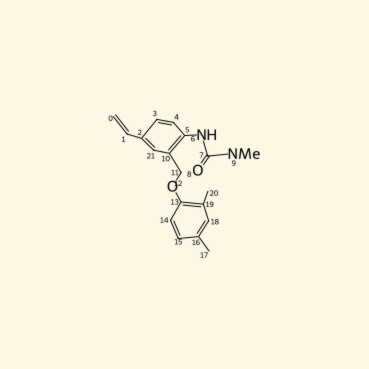 C=Cc1ccc(NC(=O)NC)c(COc2ccc(C)cc2C)c1